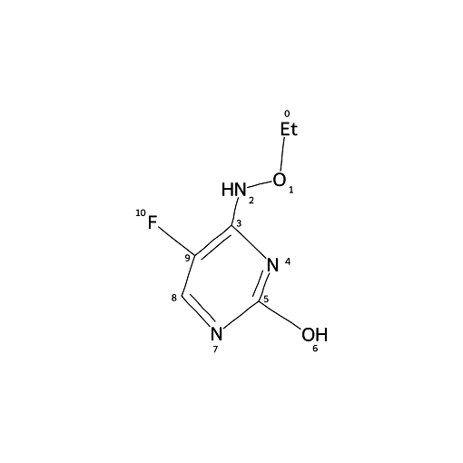 CCONc1nc(O)ncc1F